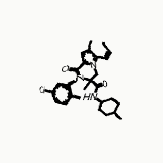 C/C=C\c1c(C)cc2n1CC(C)(C(=O)NC1CCC(C)CC1)N(c1cc(Cl)ccc1C)C2=O